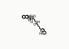 O=C(CCCCc1ccc2c(n1)NCCC2)NCCC(NS(=O)(=O)c1ccc2ccccc2c1)C(=O)O